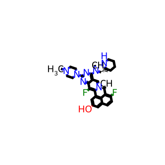 C#Cc1c(F)ccc2cc(O)cc(-c3ncc4c(N(C)C[C@H]5CCCCN5)nc(N5CCN(C)CC5)nc4c3F)c12